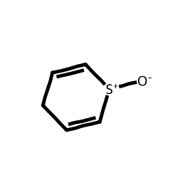 [O-][S+]1C=CCC=C1